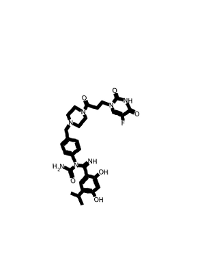 CC(C)c1cc(C(=N)N(C(N)=O)c2ccc(CN3CCN(C(=O)CCn4cc(F)c(=O)[nH]c4=O)CC3)cc2)c(O)cc1O